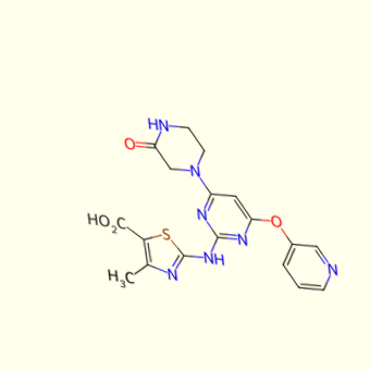 Cc1nc(Nc2nc(Oc3cccnc3)cc(N3CCNC(=O)C3)n2)sc1C(=O)O